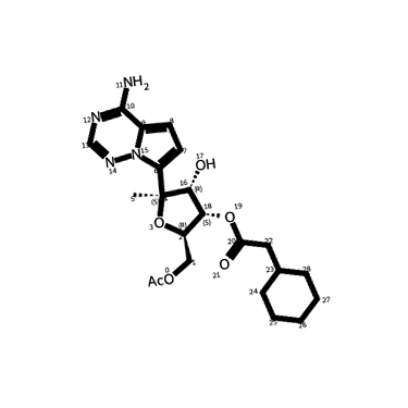 CC(=O)OC[C@H]1O[C@@](C)(c2ccc3c(N)ncnn23)[C@H](O)[C@@H]1OC(=O)CC1CCCCC1